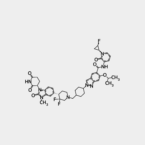 CC(C)Oc1cc2nn(C3CCC(CN4CC[C@@H](c5ccc6c(c5)n(C)c(=O)n6C5CCC(=O)NC5=O)C(F)(F)C4)CC3)cc2cc1C(=O)Nc1cccn([C@H]2C[C@H]2F)c1=O